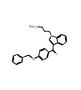 CCOC(=O)CCCn1cc(C(=O)c2ccc(OCc3ccccc3)cc2)c2ccccc21